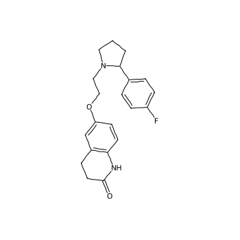 O=C1CCc2cc(OCCN3CCCC3c3ccc(F)cc3)ccc2N1